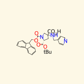 CC(C)(C)OC(=O)[C@H]1C[C@](NCc2ccncc2)(C(=O)O)CN1C(=O)OCC1c2ccccc2-c2ccccc21